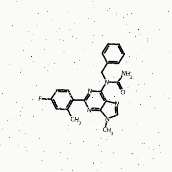 Cc1cc(F)ccc1-c1nc(N(Cc2ccccc2)C(N)=O)c2ncn(C)c2n1